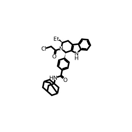 CC[C@H]1Cc2c([nH]c3ccccc23)[C@H](c2ccc(C(=O)NC34CC5CC(CC(C5)C3)C4)cc2)N1C(=O)CCl